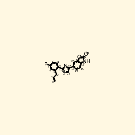 C=CCc1cc(F)ccc1-c1nc(-c2ccc3[nH]c(=O)oc3c2)cs1